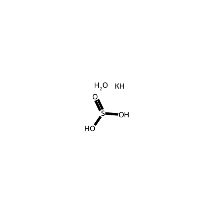 O.O=S(O)O.[KH]